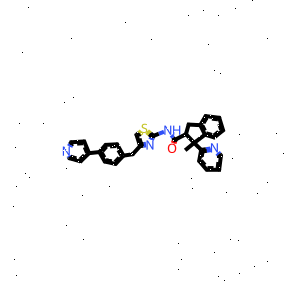 CC1(c2ccccn2)c2ccccc2CC1C(=O)Nc1nc(Cc2ccc(-c3ccncc3)cc2)cs1